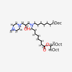 CCCCCCCCCCCCCCCCN(CCCCCCCC(=O)OC(CCCCCCCC)CCCCCCCC)CC(O)CN1CCN(C)CC1